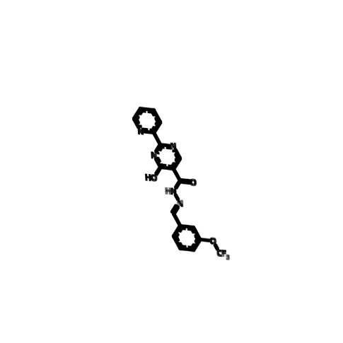 O=C(NN=Cc1cccc(OC(F)(F)F)c1)c1cnc(-c2ccccn2)nc1O